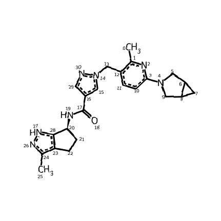 Cc1nc(N2CC3CC3C2)ccc1Cn1cc(C(=O)N[C@H]2CCc3c(C)n[nH]c32)cn1